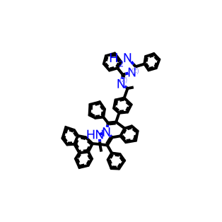 CC(/N=C(\N=C(/N)c1ccccc1)c1ccccc1)c1ccc(C2=C(c3ccccc3)N3NC(C)(c4cc5ccccc5c5ccccc45)C(c4ccccc4)=C3c3ccccc32)cc1